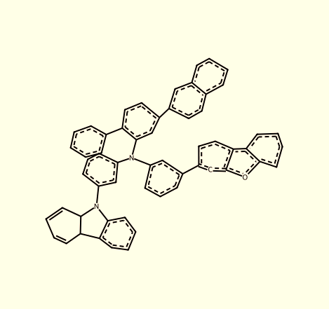 C1=CC2c3ccccc3N(c3cccc(N(c4cccc(-c5ccc6c(c5)oc5ccccc56)c4)c4cc(-c5ccc6ccccc6c5)ccc4-c4ccccc4)c3)C2C=C1